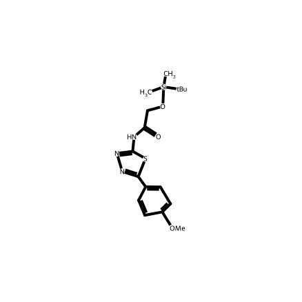 COc1ccc(-c2nnc(NC(=O)CO[Si](C)(C)C(C)(C)C)s2)cc1